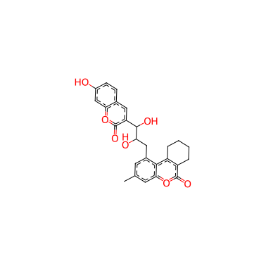 Cc1cc(CC(O)C(O)c2cc3ccc(O)cc3oc2=O)c2c3c(c(=O)oc2c1)CCCC3